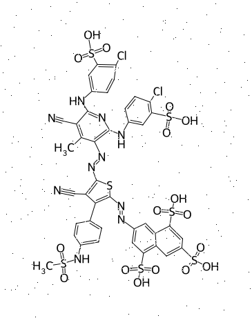 Cc1c(C#N)c(Nc2ccc(Cl)c(S(=O)(=O)O)c2)nc(Nc2ccc(Cl)c(S(=O)(=O)O)c2)c1N=Nc1sc(N=Nc2cc(S(=O)(=O)O)c3cc(S(=O)(=O)O)cc(S(=O)(=O)O)c3c2)c(-c2ccc(NS(C)(=O)=O)cc2)c1C#N